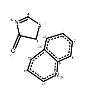 O=C1CSC=N1.c1ccc2ncccc2c1